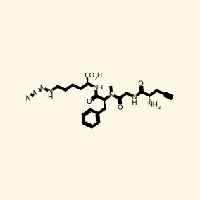 C#CC[C@H](N)C(=O)NCC(=O)N(C)[C@@H](Cc1ccccc1)C(=O)N[C@@H](CCCCNN=[N+]=[N-])C(=O)O